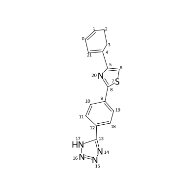 C1=CCCC(c2csc(-c3ccc(-c4nnn[nH]4)cc3)n2)=C1